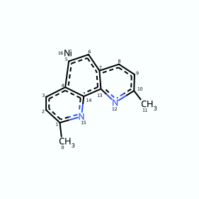 Cc1ccc2ccc3ccc(C)nc3c2n1.[Ni]